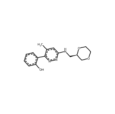 Cc1cc(NC[C@@H]2COCCO2)nnc1-c1ccccc1O